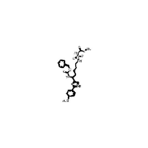 COc1ccc(-c2nc(C(CCCCNS(=O)(=O)NC(=O)OC(C)(C)C)NC(=O)OCc3ccccc3)c[nH]2)cc1